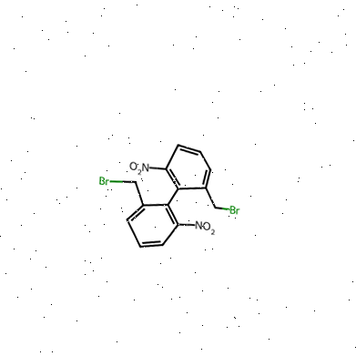 O=[N+]([O-])c1cccc(CBr)c1-c1c(CBr)cccc1[N+](=O)[O-]